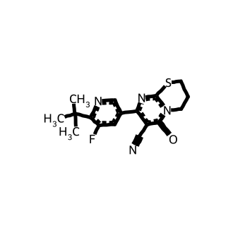 CC(C)(C)c1ncc(-c2nc3n(c(=O)c2C#N)CCCS3)cc1F